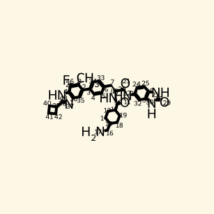 Cc1c(-c2ccc(C[C@H](NC(=O)C3CCC(CN)CC3)C(=O)Nc3ccc4[nH]c(=O)[nH]c4c3)cc2)cc2nc(C3CCC3)[nH]c2c1F